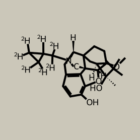 [2H]C([2H])(N1CC[C@]23c4c5ccc(O)c4O[C@H]2C2(OC)CCC3(C[C@@H]2[C@](C)(O)C(C)(C)C)[C@H]1C5)C1([2H])C([2H])([2H])C1([2H])[2H]